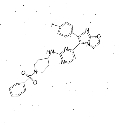 O=S(=O)(c1ccccc1)N1CCC(Nc2nccc(-c3c(-c4ccc(F)cc4)nc4occn34)n2)CC1